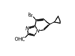 O=Cc1cn2cc(C3CC3)cc(Br)c2n1